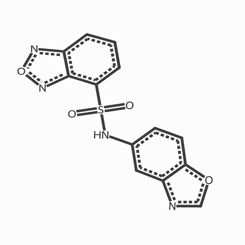 O=S(=O)(Nc1ccc2ocnc2c1)c1cccc2nonc12